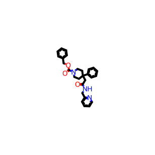 O=C(CC1(c2ccccc2)CCN(C(=O)OCc2ccccc2)CC1)NCc1ccccn1